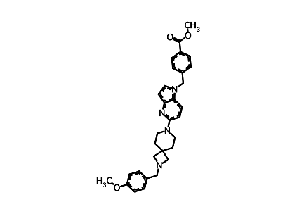 COC(=O)c1ccc(Cn2ccc3nc(N4CCC5(CC4)CN(Cc4ccc(OC)cc4)C5)ccc32)cc1